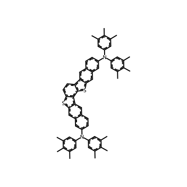 Cc1cc(N(c2cc(C)c(C)c(C)c2)c2ccc3cc4c(cc3c2)sc2c4ccc3sc4cc5cc(N(c6cc(C)c(C)c(C)c6)c6cc(C)c(C)c(C)c6)ccc5cc4c32)cc(C)c1C